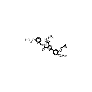 COc1ccc(-c2nc(C(=O)NCc3cccc(C(=O)O)n3)c(C(C)N)s2)cc1OCC1CC1.Cl.Cl